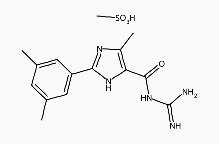 CS(=O)(=O)O.Cc1cc(C)cc(-c2nc(C)c(C(=O)NC(=N)N)[nH]2)c1